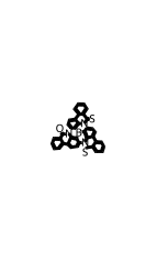 O=c1c2ccccc2c2ccc3c4c2n1-c1ccc2c5ccccc5c(=S)n5c2c1B4c1c-5ccc2c4ccccc4c(=S)n-3c12